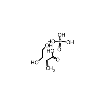 C=CC(=O)O.O=P(O)(O)O.OCCO